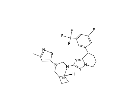 Cc1cc(N2CC3CC[C@H]3N(c3nc4n(n3)CCCC4c3cc(F)cc(C(F)(F)F)c3)C2)sn1